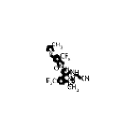 C[C@H]1CCN(Cc2cc3c(c(C(F)(F)F)c2)CN(c2cc(-c4cc(C(F)(F)F)ccc4-c4nncn4C)cc(NCCCC#N)n2)C3=O)C1